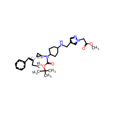 CC/C(=C\c1ccccc1)[C@@H]1C[C@H]1N(C(=O)OC(C)(C)C)C1CCC(NCc2cnn(CC(=O)OC)c2)CC1